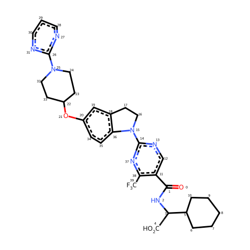 O=C(NC(C(=O)O)C1CCCCC1)c1cnc(N2CCc3cc(OC4CCN(c5ncccn5)CC4)ccc32)nc1C(F)(F)F